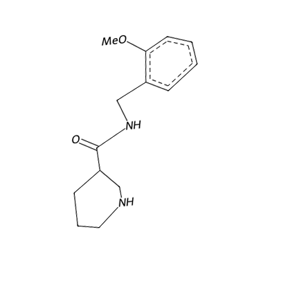 COc1ccccc1CNC(=O)C1CCCNC1